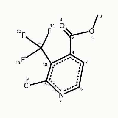 COC(=O)c1ccnc(Cl)c1C(F)(F)F